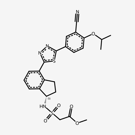 COC(=O)CS(=O)(=O)N[C@H]1CCc2c(-c3nnc(-c4ccc(OC(C)C)c(C#N)c4)s3)cccc21